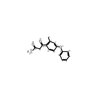 Cc1cc(Oc2ccccc2)ccc1C(=O)CC(=O)C(F)(F)F